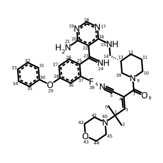 CC(C)(/C=C(\C#N)C(=O)N1CCC[C@@H](CNc2ncnc(N)c2C(=N)c2ccc(Oc3ccccc3)cc2F)C1)N1CCOCC1